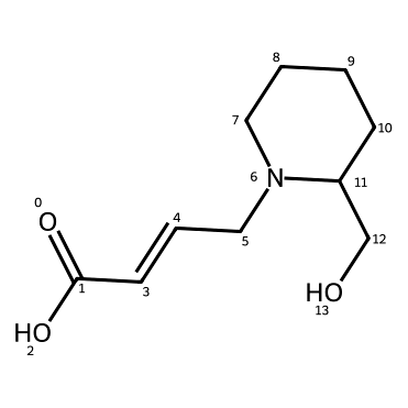 O=C(O)C=CCN1CCCCC1CO